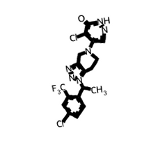 CC(c1ccc(Cl)cc1C(F)(F)F)n1nnc2c1CCN(c1cn[nH]c(=O)c1Cl)C2